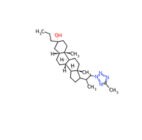 CCC[C@@]1(O)CC[C@@]2(C)[C@H](CC[C@@H]3[C@@H]2CC[C@]2(C)C(C(C)Cn4nnc(C)n4)CC[C@@H]32)C1